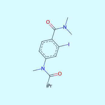 CC(C)C(=O)N(C)c1ccc(C(=O)N(C)C)c(I)c1